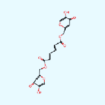 O=C(/C=C/C=C/C(=O)OCc1cc(=O)c(O)co1)OCc1cc(=O)c(O)co1